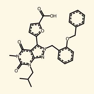 CC(C)Cn1c(=O)n(C)c(=O)c2c(-c3ccc(C(=O)O)o3)n(Cc3ccccc3OCc3ccccc3)nc21